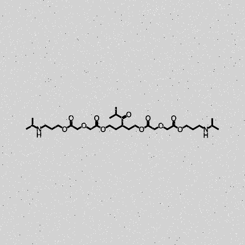 CC(C)NCCCOC(=O)COCC(=O)OCCC(CCOC(=O)COCC(=O)OCCCNC(C)C)C(=O)C(C)C